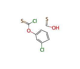 OC=S.S=C(Cl)Oc1cccc(Cl)c1